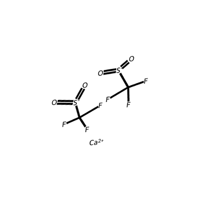 O=[S-](=O)C(F)(F)F.O=[S-](=O)C(F)(F)F.[Ca+2]